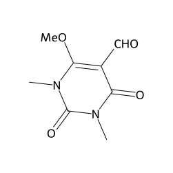 COc1c(C=O)c(=O)n(C)c(=O)n1C